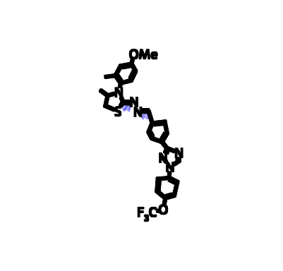 COc1ccc(N2/C(=N/N=C/c3ccc(-c4ncn(-c5ccc(OC(F)(F)F)cc5)n4)cc3)SCC2C)c(C)c1